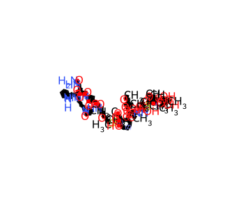 COC(=O)CC1=C2/C(=C/CSSC(C)(C)CCC(=O)CCCNC(=O)OCc3ccc(NC(=O)[C@H](CCCNC(N)=O)CC(=O)[C@H](Cc4c[nH]c5ccccc45)NC(=O)CCCCCN4C(=O)CC(C)C4=O)cc3)[C@](O)(C#C/C=C\C#C[C@@H]2OC2OC(C)C(NOC3CC(O)C(SC(=O)c4c(C)c(I)c(OC5OC(C)C(O)C(OC)C5O)c(C)c4OC)C(C)O3)C(O)C2OC2CC(C)C(CC(C)=O)CO2)CC1=O